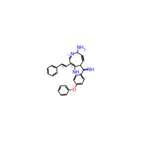 N=C(c1ccc(Oc2ccccc2)cc1)C1C#CC(N)\N=C/C(/C=C/c2ccccc2)=C\1N